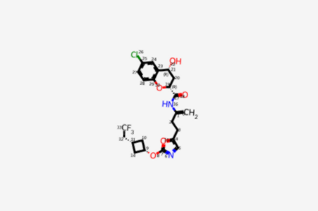 C=C(CCc1cnc(O[C@H]2C[C@@H](CC(F)(F)F)C2)o1)NC(=O)[C@H]1C[C@@H](O)c2cc(Cl)ccc2O1